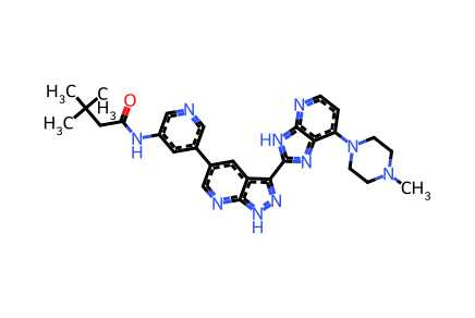 CN1CCN(c2ccnc3[nH]c(-c4n[nH]c5ncc(-c6cncc(NC(=O)CC(C)(C)C)c6)cc45)nc23)CC1